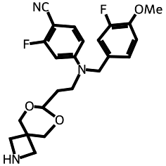 COc1ccc(CN(CCC2OCC3(CNC3)CO2)c2ccc(C#N)c(F)c2)cc1F